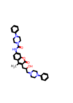 Cc1c(CC(O)CN2CCN(c3ccccc3)CC2)c(=O)oc2cc(NC(=O)N3CCN(c4ccccc4)CC3)ccc12